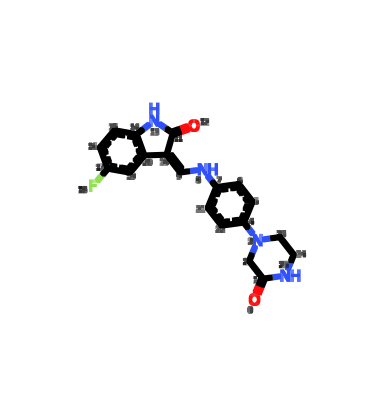 O=C1CN(c2ccc(NC=C3C(=O)Nc4ccc(F)cc43)cc2)CCN1